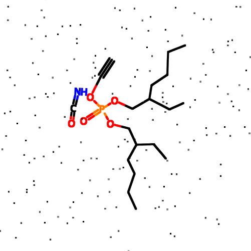 C#COP(=O)(OCC(CC)CCCC)OCC(CC)CCCC.N=C=O